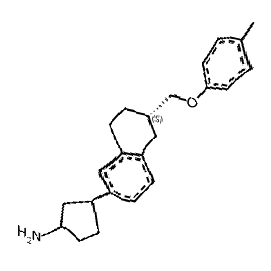 Cc1ccc(OC[C@H]2CCc3cc(C4CCC(N)C4)ccc3C2)cc1